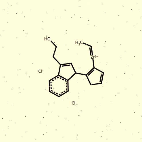 C[CH]=[Zr+2][C]1=C(C2C=C(CCO)c3ccccc32)CC=C1.[Cl-].[Cl-]